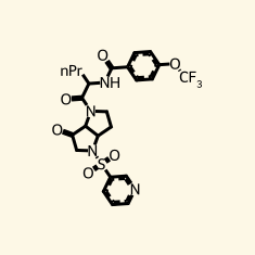 CCCC(NC(=O)c1ccc(OC(F)(F)F)cc1)C(=O)N1CCC2C1C(=O)CN2S(=O)(=O)c1cccnc1